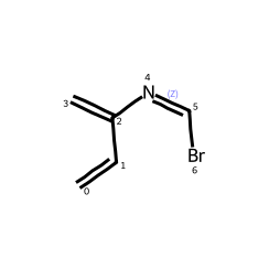 C=CC(=C)/N=C\Br